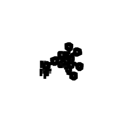 Cc1cc(-c2cncc(C(F)(F)F)c2)ccc1[C@@H](C)[C@H]1O[C@H](COCc2ccccc2)[C@@H](OCc2ccccc2)[C@H](OCc2ccccc2)[C@@H]1OCc1ccccc1